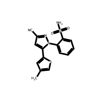 Cc1csc(-c2cc(C#N)nn2-c2ccccc2S(N)(=O)=O)c1